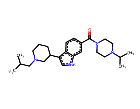 CC(C)CN1CCCC(c2c[nH]c3cc(C(=O)N4CCN(C(C)C)CC4)ccc23)C1